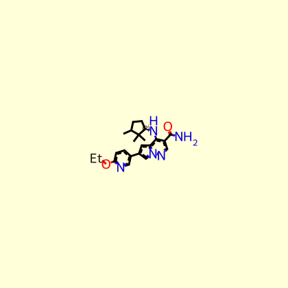 CCOc1ccc(-c2cc3c(N[C@@H]4CCC(C)C4(C)C)c(C(N)=O)cnn3c2)cn1